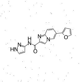 O=C(Nc1cc[nH]n1)c1cn2cc(-c3ccco3)ccc2n1